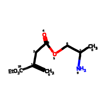 C=C(CC(=O)OCC(C)N)C(=O)OCC